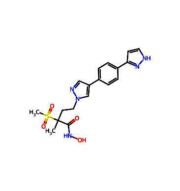 CC(CCn1cc(-c2ccc(-c3cc[nH]n3)cc2)cn1)(C(=O)NO)S(C)(=O)=O